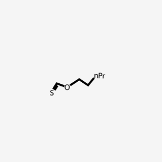 [CH2]CCCCOC=S